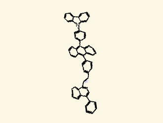 C(=C\c1ccc(-c2ccccc2)c2ccccc12)/c1ccc(-c2c3ccccc3c(-c3ccc(-n4c5ccccc5c5ccccc54)cc3)c3ccccc23)cc1